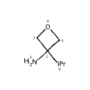 CC(C)C1(N)COC1